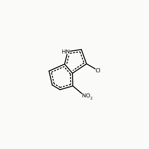 O=[N+]([O-])c1cccc2[nH]cc(Cl)c12